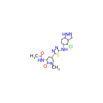 CC(=O)Nc1cc(-c2nnc(Nc3ccc4[nH]ncc4c3Cl)s2)cn(C)c1=O